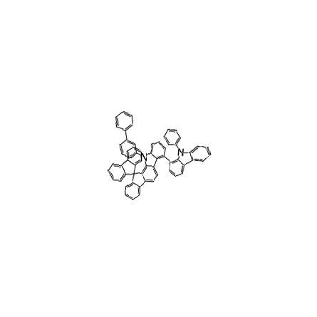 c1ccc(-c2cccc(-n3c4cccc(-c5cccc6c7ccccc7n(-c7ccccc7)c56)c4c4ccc5c(c43)C3(c4ccccc4-c4ccccc43)c3ccccc3-5)c2)cc1